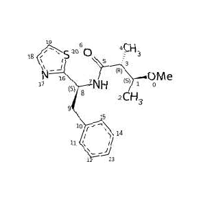 CO[C@@H](C)[C@@H](C)C(=O)N[C@@H](Cc1ccccc1)c1nccs1